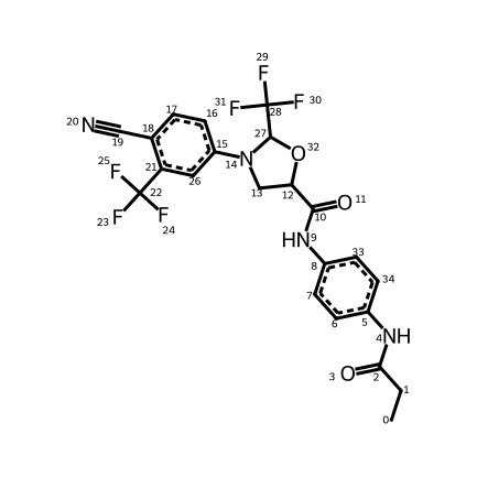 CCC(=O)Nc1ccc(NC(=O)C2CN(c3ccc(C#N)c(C(F)(F)F)c3)C(C(F)(F)F)O2)cc1